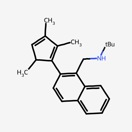 CC1=CC(C)C(c2ccc3ccccc3c2CNC(C)(C)C)=C1C